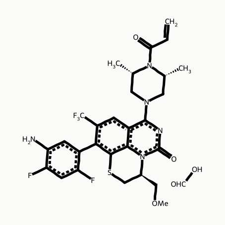 C=CC(=O)N1[C@H](C)CN(c2nc(=O)n3c4c(c(-c5cc(N)c(F)cc5F)c(C(F)(F)F)cc24)SC[C@@H]3COC)C[C@@H]1C.O=CO